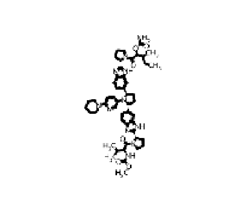 CCC(C)[C@H](OC(N)=O)C(=O)N1CCC[C@H]1c1nc2ccc([C@H]3CC[C@H](c4ccc5nc([C@@H]6CCCN6C(=O)[C@@H](NC(=O)OC)C(C)C)[nH]c5c4)N3c3ccc(N4CCCCC4)nc3)cc2[nH]1